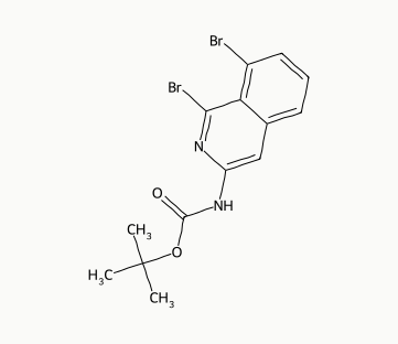 CC(C)(C)OC(=O)Nc1cc2cccc(Br)c2c(Br)n1